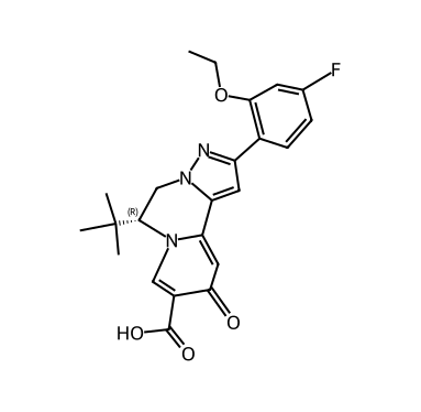 CCOc1cc(F)ccc1-c1cc2n(n1)C[C@@H](C(C)(C)C)n1cc(C(=O)O)c(=O)cc1-2